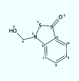 O=c1sn(CO)c2ccccc12